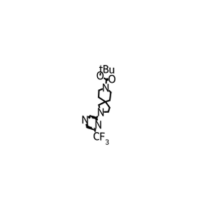 CC(C)(C)OC(=O)N1CCC2(CC1)CCN(c1cncc(C(F)(F)F)n1)C2